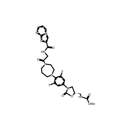 COC(=O)NC[C@H]1CN(c2cc(F)c(N3CCCN(C(=O)CNC(=O)c4cn5cccnc5n4)CC3)c(F)c2)C(=O)O1